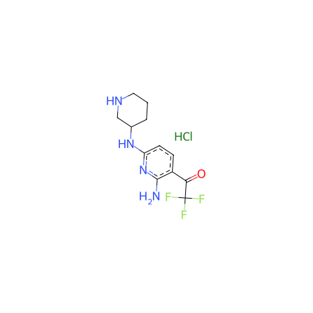 Cl.Nc1nc(NC2CCCNC2)ccc1C(=O)C(F)(F)F